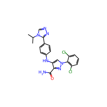 CC(C)n1cnnc1-c1ccc(Nc2cn(-c3c(Cl)cccc3Cl)nc2C(N)=O)cc1